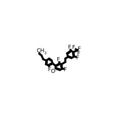 CCCCc1ccc(-c2c([O])cc(F)c(CCc3cc(F)c(C(F)(F)F)c(F)c3)c2F)c(F)c1